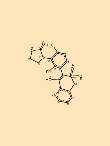 Cc1ccc(C2=C(O)c3ncccc3CS2(=O)=O)c(Cl)c1N1CCOC1=O